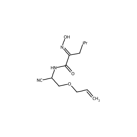 C=CCOCC(C#N)NC(=O)C(CC(C)C)=NO